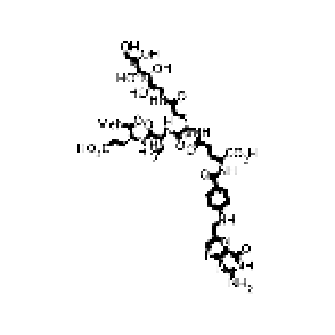 CNC(=O)[C@H](CCC(=O)O)NC(=O)[C@H](CS)NC(=O)[C@H](CCC(=O)NC[C@H](O)[C@@H](O)[C@H](O)[C@H](O)CO)NC(=O)CC[C@H](NC(=O)c1ccc(NCc2cnc3nc(N)[nH]c(=O)c3n2)cc1)C(=O)O